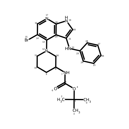 CC(C)(C)OC(=O)NC1CCCN(c2c(Br)cnc3[nH]cc(Nc4ccccc4)c23)C1